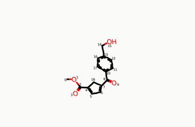 COC(=O)C1=CC=C(C(=O)c2ccc(CO)cc2)C1